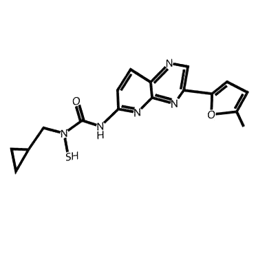 Cc1ccc(-c2cnc3ccc(NC(=O)N(S)CC4CC4)nc3n2)o1